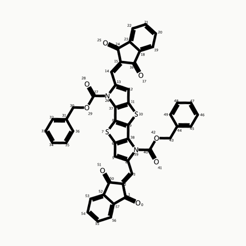 O=C1C(=Cc2cc3sc4c(sc5cc(C=C6C(=O)c7ccccc7C6=O)n(C(=O)OCc6ccccc6)c54)c3n2C(=O)OCc2ccccc2)C(=O)c2ccccc21